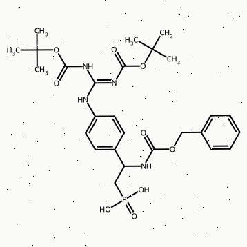 CC(C)(C)OC(=O)N=C(NC(=O)OC(C)(C)C)Nc1ccc(C(CP(=O)(O)O)NC(=O)OCc2ccccc2)cc1